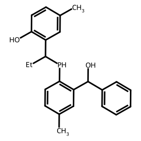 CCC(Pc1ccc(C)cc1C(O)c1ccccc1)c1cc(C)ccc1O